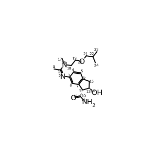 CC(=Nc1ccc2c(c1)[C@@H](C(N)=O)[C@H](O)C2)N(C)CCOCC(C)C